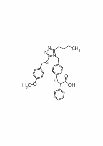 CCCCc1nnc(SCc2ccc(OC)cc2)n1Cc1ccc(OC(C(=O)O)c2ccccc2)cc1